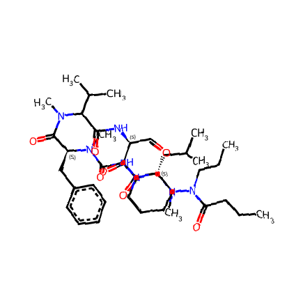 CCCC(=O)N(CCC)N(C)[C@@H](CC(C)C)C(=O)NC(=O)N(C)[C@@H](Cc1ccccc1)C(=O)N(C)C(C(=O)N[C@@H](C=O)C(=O)N1CCCCC1)C(C)C